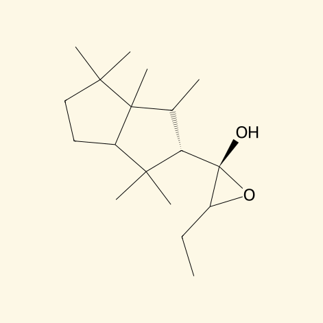 CCC1O[C@@]1(O)[C@H]1C(C)C2(C)C(CCC2(C)C)C1(C)C